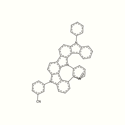 C=NCc1cccc2c1c1c(ccc3c4ccc5c(c6ccccc6n5-c5ccccc5)c4n(-c4ccccc4)c31)n2-c1cccc(C#N)c1